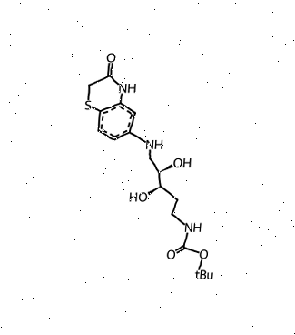 CC(C)(C)OC(=O)NCC[C@@H](O)[C@H](O)CNc1ccc2c(c1)NC(=O)CS2